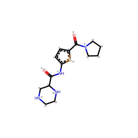 O=C(Nc1ccc(C(=O)N2CCCC2)s1)C1CNCCN1